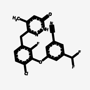 Cc1cc(=O)[nH]nc1Cc1ccc(Cl)c(Oc2cc(C#N)cc(C(F)F)c2)c1F